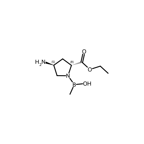 CCOC(=O)[C@H]1C[C@H](N)CN1B(C)O